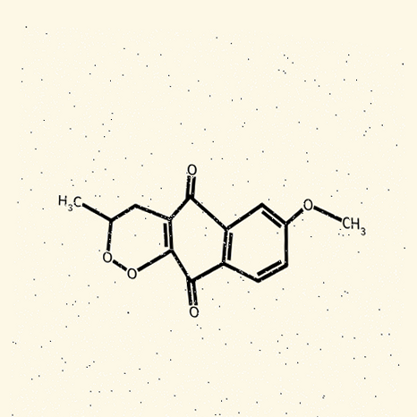 COc1ccc2c(c1)C(=O)C1=C(OOC(C)C1)C2=O